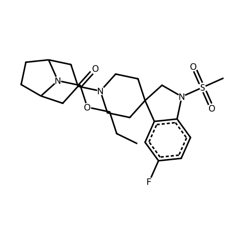 CCCOC(=O)N1C2CCC1CC(N1CCC3(CC1)CN(S(C)(=O)=O)c1ccc(F)cc13)C2